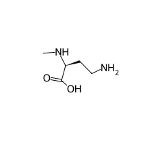 CN[C@@H](CCN)C(=O)O